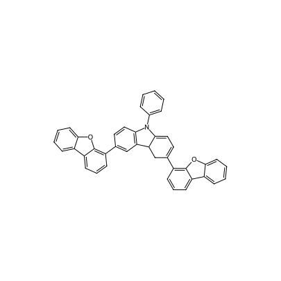 C1=C(c2cccc3c2oc2ccccc23)CC2C(=C1)N(c1ccccc1)c1ccc(-c3cccc4c3oc3ccccc34)cc12